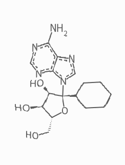 Nc1ncnc2c1ncn2[C@]1(C2CCCCC2)O[C@H](CO)[C@@H](O)[C@H]1O